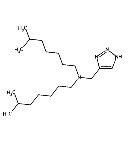 CC(C)CCCCCN(CCCCCC(C)C)Cc1c[nH]nn1